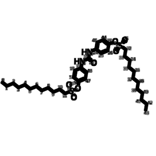 CCCCCCCCCCCCS(=O)(=O)Oc1ccc(NC(=O)Nc2ccc(OS(=O)(=O)CCCCCCCCCCCC)cc2)cc1